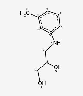 Cc1cccc(NCC(O)CO)c1